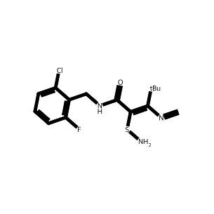 C=N/C(=C(\SN)C(=O)NCc1c(F)cccc1Cl)C(C)(C)C